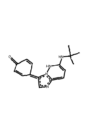 CC(C)(C)NC1=CC=c2ncc(=C3C=CC(=O)C=C3)n2N1